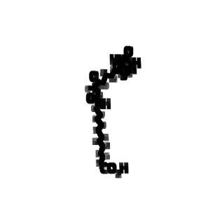 CN(CC(=O)NCCCCCCCCCCCC(=O)O)C(=O)CCCC[C@@H]1SC[C@@H]2NC(=O)N[C@@H]21